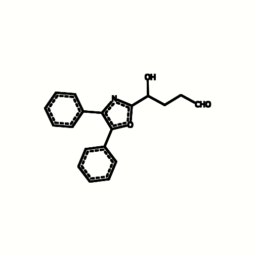 O=CCCC(O)c1nc(-c2ccccc2)c(-c2ccccc2)o1